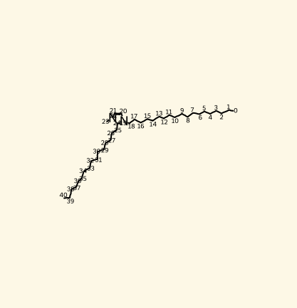 CCCCCCCCCCCCCCCCCCCN1C=CN(C)C1CCCCCCCCCCCCCCCC